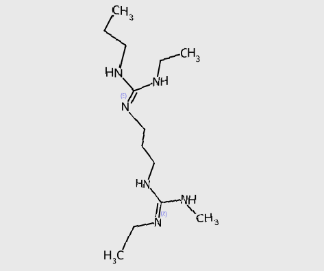 CCCN/C(=N/CCCN/C(=N\CC)NC)NCC